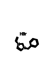 Br.C=CN1C=CN(Cc2ccccc2)C1